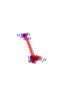 CCCNC(=O)[C@H](CCCCNC(=O)CCOCCOCCOCCOCCOCCOCCOCCOCCOCCOCCOCCOC(=O)Nc1cc(COC(=O)N(C)[C@H](C(=O)N[C@H](C(=O)N(C)[C@@H]([C@@H](C)CC)[C@@H](CC(=O)N2CCC[C@H]2[C@H](OC)[C@@H](C)C(=O)N[C@H](C)[C@@H](O)c2ccccc2)OC)C(C)C)C(C)C)ccc1O[C@@H]1O[C@H](C(=O)O)[C@@H](O)[C@H](O)[C@H]1O)NC(=O)[C@@H](CN)N1C(=O)C=CC1=O